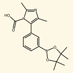 Cc1nc(C)n(C(=O)O)c1-c1cccc(B2OC(C)(C)C(C)(C)O2)c1